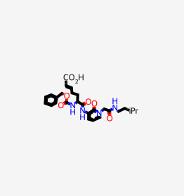 CC(C)CCNC(=O)Cn1cccc(NC(=O)C(CCC=CC(=O)O)NC(=O)OCc2ccccc2)c1=O